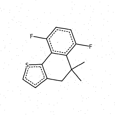 CC1(C)Cc2ccsc2-c2c(F)ccc(F)c21